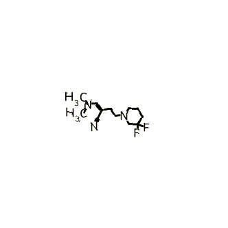 CN(C)/C=C(\C#N)CCN1CCCC(F)(F)C1